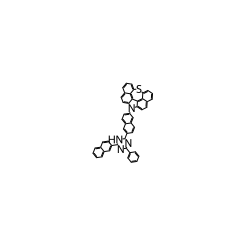 c1ccc(C2=NC(c3ccc4cc(-n5c6ccc7cccc8sc9cccc%10ccc5c(c%109)c6c78)ccc4c3)NC(c3ccc4ccccc4c3)=N2)cc1